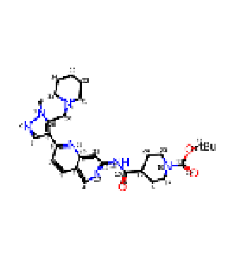 Cn1ncc(-c2ccc3cnc(NC(=O)C4CCN(C(=O)OC(C)(C)C)CC4)cc3n2)c1CN1CCCCC1